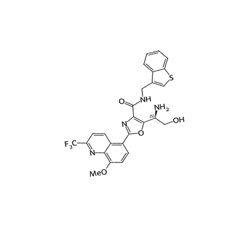 COc1ccc(-c2nc(C(=O)NCc3csc4ccccc34)c([C@@H](N)CO)o2)c2ccc(C(F)(F)F)nc12